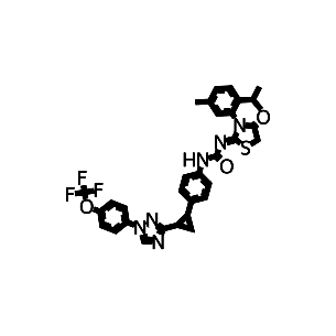 Cc1ccc(C(C)C)c(N2C(=O)CSC2=NC(=O)Nc2ccc(C3CC3c3ncn(-c4ccc(OC(F)(F)F)cc4)n3)cc2)c1